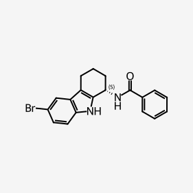 O=C(N[C@H]1CCCc2c1[nH]c1ccc(Br)cc21)c1ccccc1